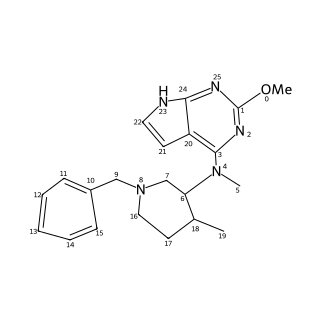 COc1nc(N(C)C2CN(Cc3ccccc3)CCC2C)c2cc[nH]c2n1